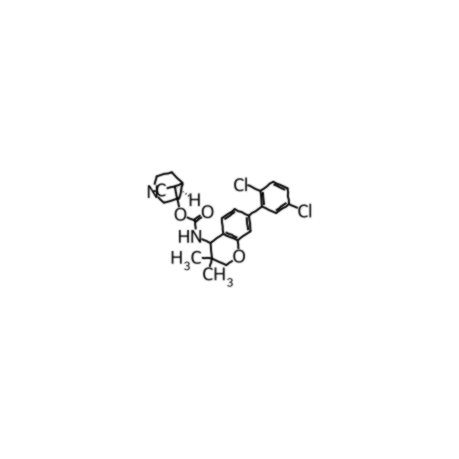 CC1(C)COc2cc(-c3cc(Cl)ccc3Cl)ccc2C1NC(=O)O[C@H]1CN2CCC1CC2